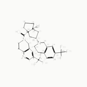 O=C(N1CCc2ncc(C(F)(F)F)cc2C1)[C@@]12CCC[C@@H]1C[C@@H](N1CCc3ccc(C(F)(F)F)cc3C1)C2